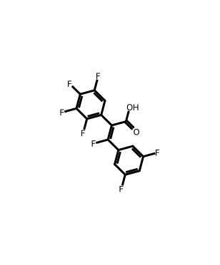 O=C(O)C(=C(F)c1cc(F)cc(F)c1)c1cc(F)c(F)c(F)c1F